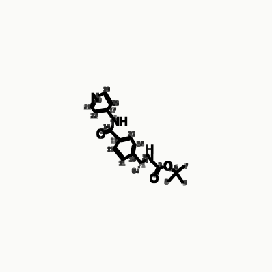 C[C@@H](NC(=O)OC(C)(C)C)c1ccc(C(=O)Nc2ccncc2)cc1